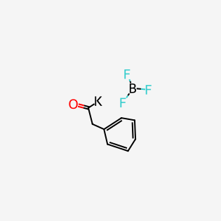 FB(F)F.O=[C]([K])Cc1ccccc1